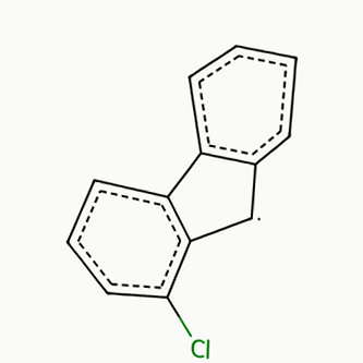 Clc1cccc2c1[CH]c1ccccc1-2